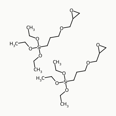 CCO[Si](CCCOCC1CO1)(OCC)OCC.CCO[Si](CCCOCC1CO1)(OCC)OCC